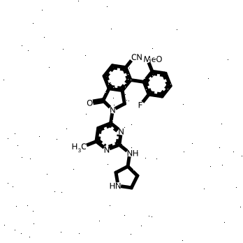 COc1cccc(F)c1-c1c(C#N)ccc2c1CN(c1cc(C)nc(NC3CCNC3)n1)C2=O